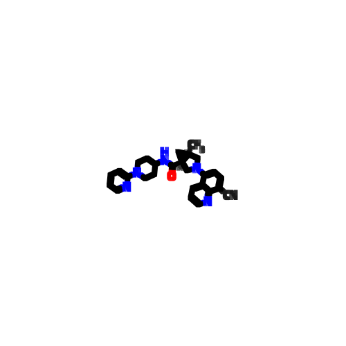 N#Cc1ccc(N2C[C@]3(C(=O)NC4CCN(c5ccccn5)CC4)C[C@]3(C(F)(F)F)C2)c2cccnc12